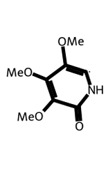 COc1[c][nH]c(=O)c(OC)c1OC